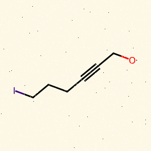 [O]CC#CCCCI